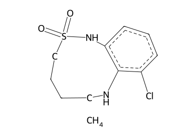 C.O=S1(=O)CCCCNc2c(Cl)cccc2N1